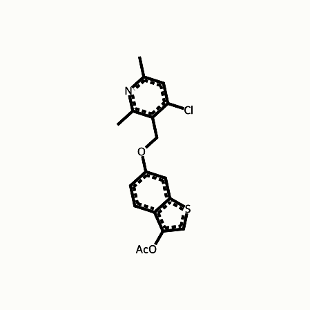 CC(=O)Oc1csc2cc(OCc3c(Cl)cc(C)nc3C)ccc12